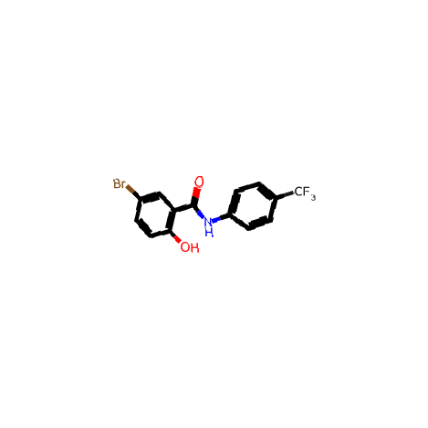 O=C(Nc1ccc(C(F)(F)F)cc1)c1cc(Br)ccc1O